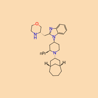 CCC[C@H]1C[C@@H](n2c(C[C@H]3COCCN3)nc3ccccc32)CCN1[C@@H]1C[C@@H]2CCCC[C@@H](C2)C1